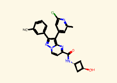 Cc1cc(-c2c(-c3cccc(C#N)c3)nn3ccc(C(=O)N[C@H]4C[C@H](O)C4)nc23)cc(Cl)n1